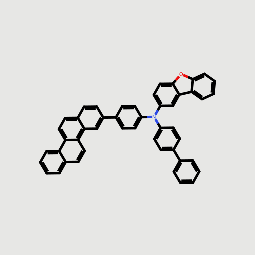 c1ccc(-c2ccc(N(c3ccc(-c4ccc5ccc6c7ccccc7ccc6c5c4)cc3)c3ccc4oc5ccccc5c4c3)cc2)cc1